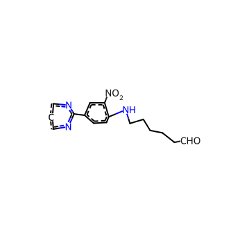 O=CCCCCCNc1ccc(-c2ncccn2)cc1[N+](=O)[O-]